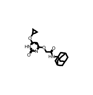 O=C(COc1cc(OC2CC2)[nH]c(=O)n1)NC12CC3CC(CC(C3)C1)C2